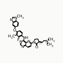 Cc1c(Oc2ccc3c(c2)ncn3C)ccc(Nc2ncnc3ccc(N4CC/C(=C\CN(C)C)C4=O)nc23)c1F